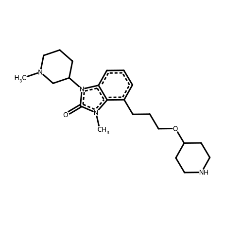 CN1CCCC(n2c(=O)n(C)c3c(CCCOC4CCNCC4)cccc32)C1